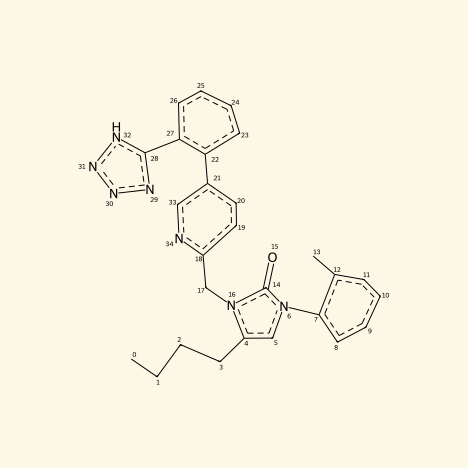 CCCCc1cn(-c2ccccc2C)c(=O)n1Cc1ccc(-c2ccccc2-c2nnn[nH]2)cn1